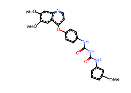 COc1cccc(NC(=O)NC(=O)Nc2ccc(Oc3ccnc4cc(OC)c(OC)cc34)cc2)c1